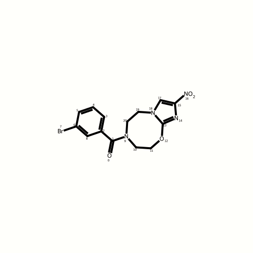 O=C(c1cccc(Br)c1)N1CCOc2nc([N+](=O)[O-])cn2CC1